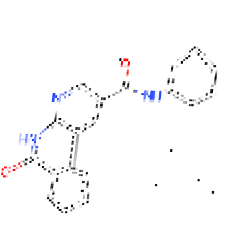 O=C(Nc1ccccc1)c1cnc2[nH]c(=O)c3ccccc3c2c1